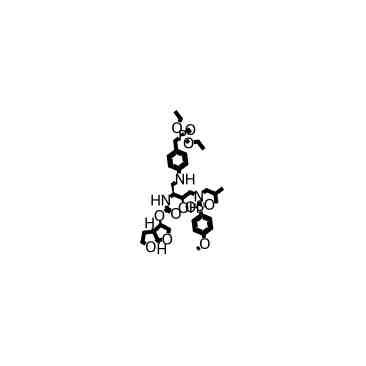 CCOP(=O)(Cc1ccc(NC[C@H](NC(=O)O[C@H]2CO[C@H]3OCC[C@H]32)[C@H](O)CN(CC(C)C)S(=O)(=O)c2ccc(OC)cc2)cc1)OCC